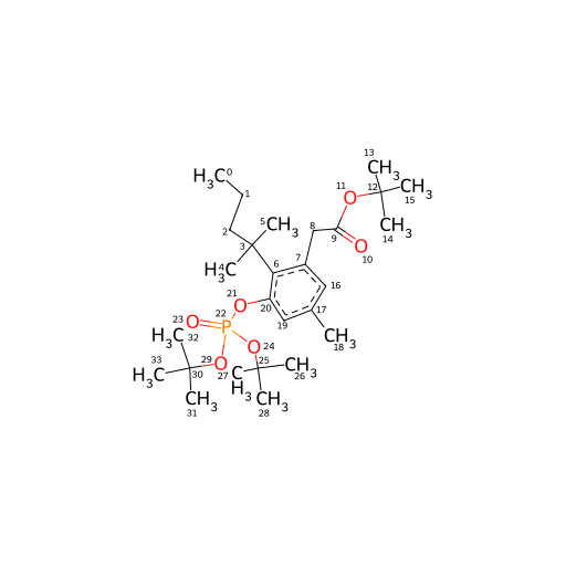 CCCC(C)(C)c1c(CC(=O)OC(C)(C)C)cc(C)cc1OP(=O)(OC(C)(C)C)OC(C)(C)C